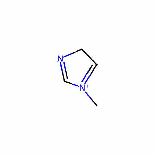 C[N+]1=CCN=C1